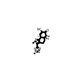 C[C@@H]1C(=O)C(C#N)=C[C@]2(C)c3nn(C)c(-c4nnn(C)n4)c3CC[C@@H]12